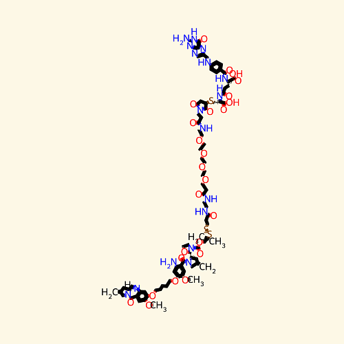 C=C1C[C@H]2C=Nc3cc(OCCCCCOc4cc(N)c(C(=O)N5CC(=C)C[C@H]5C5OCCN5C(=O)OCC(C)(C)SSCCC(=O)NCCNC(=O)CCOCCOCCOCCOCCNC(=O)CCN5C(=O)CC(SC[C@H](NC(=O)CC[C@H](NC(=O)c6ccc(NCc7cnc8nc(N)[nH]c(=O)c8n7)cc6)C(=O)O)C(=O)O)C5=O)cc4OC)c(OC)cc3C(=O)N2C1